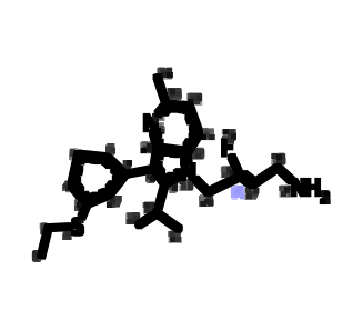 CCSc1cccc(-c2c(C(C)C)n(C/C(F)=C/CN)c3ccc(C)nc23)c1